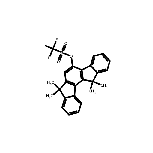 CC1(C)c2ccccc2-c2c1cc(OS(=O)(=O)C(F)(F)F)c1c2C(C)(C)c2ccccc2-1